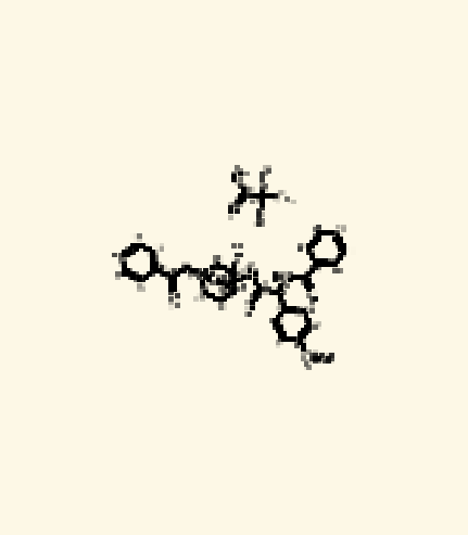 COc1ccc(C(NC(=O)c2ccccc2)C(=O)O[C@H]2C[N+]3(CC(=O)c4ccccc4)CCC2CC3)cc1.O=C([O-])C(F)(F)F